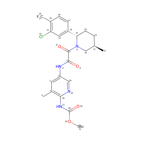 Cc1cc(NC(=O)C(=O)N2C[C@H](C)CC[C@H]2c2ccc(C(F)(F)F)c(Cl)c2)cnc1NC(=O)OC(C)(C)C